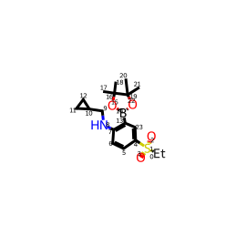 CCS(=O)(=O)c1ccc(NCC2CC2)c(B2OC(C)(C)C(C)(C)O2)c1